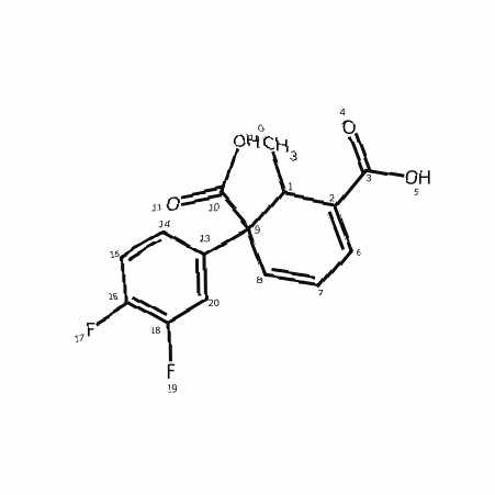 CC1C(C(=O)O)=CC=CC1(C(=O)O)c1ccc(F)c(F)c1